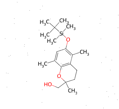 Cc1cc(O[Si](C)(C)C(C)(C)C)c(C)c2c1OC(C)(CO)CC2